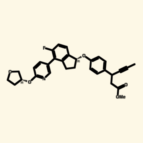 CC#CC(CC(=O)OC)c1ccc(O[C@@H]2CCc3c2ccc(F)c3-c2ccc(O[C@@H]3CCOC3)nc2)cc1